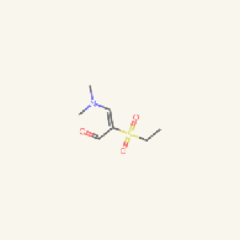 CCS(=O)(=O)C(C=O)=CN(C)C